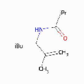 C=C(C)C(NC(=O)C(C)C)[C@H](C)CC